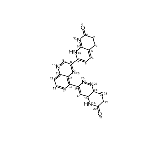 O=C1CCC2=CC=C(c3[c]nc4cccc(C5=CC6NC(=O)CSC6N=N5)c4n3)NC2=N1